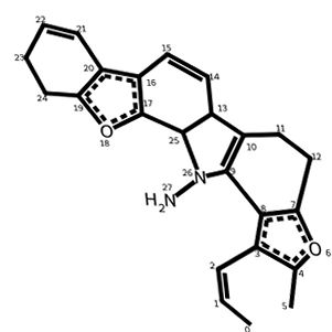 C/C=C\c1c(C)oc2c1C1=C(CC2)C2C=Cc3c(oc4c3C=CCC4)C2N1N